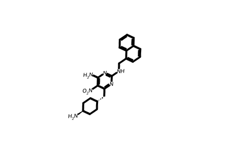 Nc1nc(NCc2cccc3ccccc23)nc(C[C@H]2CC[C@H](N)CC2)c1[N+](=O)[O-]